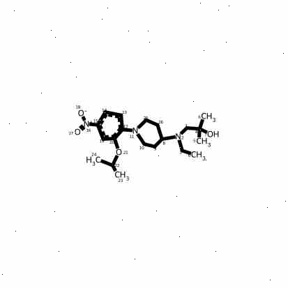 CCN(CC(C)(C)O)C1CCN(c2ccc([N+](=O)[O-])cc2OC(C)C)CC1